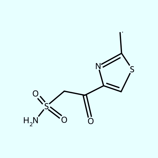 [CH2]c1nc(C(=O)CS(N)(=O)=O)cs1